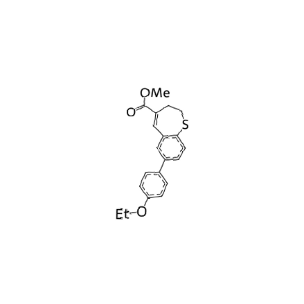 CCOc1ccc(-c2ccc3c(c2)C=C(C(=O)OC)CCS3)cc1